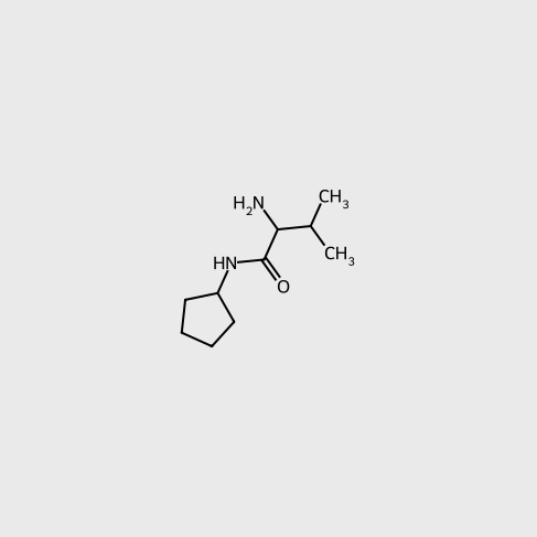 CC(C)C(N)C(=O)NC1CCCC1